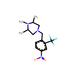 CC1CN(Cc2ccc([N+](=O)[O-])cc2C(F)(F)F)CC(C)N1C